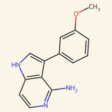 COc1cccc(-c2c[nH]c3ccnc(N)c23)c1